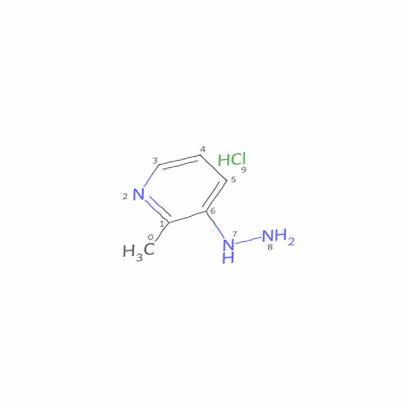 Cc1ncccc1NN.Cl